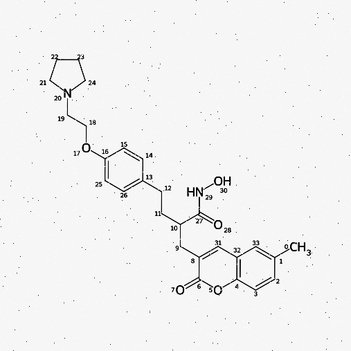 Cc1ccc2oc(=O)c(CC(CCc3ccc(OCCN4CCCC4)cc3)C(=O)NO)cc2c1